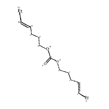 CC/C=C/CCCOC(=O)OCCC/C=C/CC